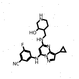 N#Cc1cc(F)cc(Nc2cc(NCC3CCNCC3O)nc3c(C4CC4)cnn23)c1